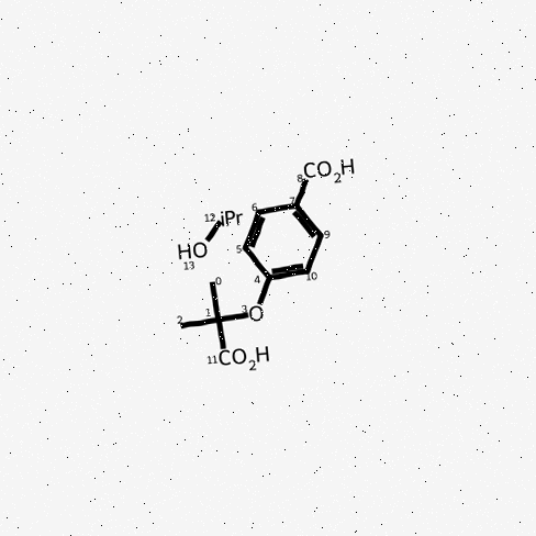 CC(C)(Oc1ccc(C(=O)O)cc1)C(=O)O.CC(C)O